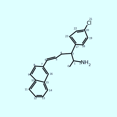 CC(N)C(CC=Cc1ccc2ccccc2c1)c1ccc(Cl)cc1